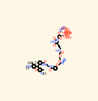 CC/N=c1/cc2oc3cc(NCC)c(C)cc3c(-c3cc(C(=O)NCCNC(=O)c4cccc(OCC(N=[N+]=[N-])OCCOCC(=O)NCC#Cc5cn([C@H]6C[C@@H](OCN=[N+]=[N-])[C@@H](COP(=O)(O)OP(=O)(O)OP(C)(=O)O)O6)c(=O)[nH]c5=O)c4)ccc3C(=O)O)c-2cc1C